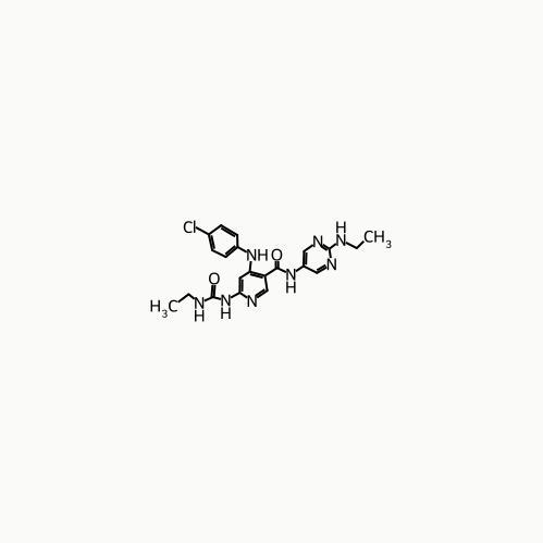 CCNC(=O)Nc1cc(Nc2ccc(Cl)cc2)c(C(=O)Nc2cnc(NCC)nc2)cn1